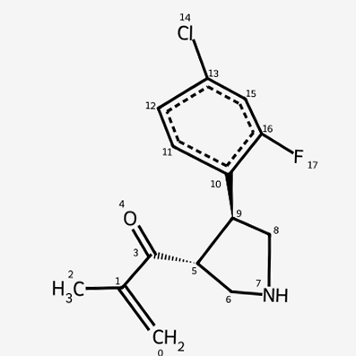 C=C(C)C(=O)[C@H]1CNC[C@@H]1c1ccc(Cl)cc1F